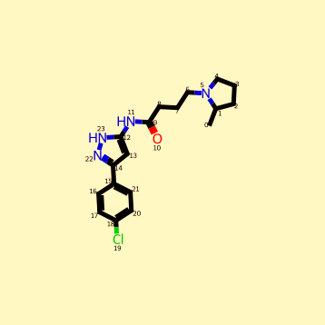 CC1CCCN1CCCC(=O)Nc1cc(-c2ccc(Cl)cc2)n[nH]1